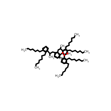 CCCCCCCc1cccc(C(C)Cc2ccc(O)c(CC(C)c3cccc(CCCCCCC)c3CCCCCCC)c2CC(C)c2cccc(CCCCCCC)c2CCCCCCC)c1CCCCCCC